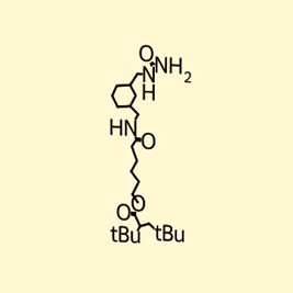 CC(C)(C)CC(C(=O)OCCCCCC(=O)NCC1CCCC(CNC(N)=O)C1)C(C)(C)C